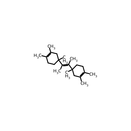 CC1=C(C)CC(C)(/C(C)=C(\C)C2(C)CCC(C)=C(C)C2)CC1